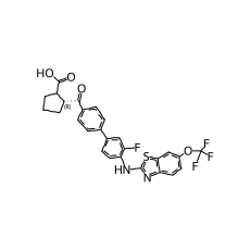 O=C(O)C1CCC[C@H]1C(=O)c1ccc(-c2ccc(Nc3nc4ccc(OC(F)(F)F)cc4s3)c(F)c2)cc1